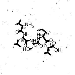 CC[C@H](C)[C@H](NC(=O)[C@H](CO)NC(=O)[C@H](CC(C)C)NC(=O)[C@@H](N)C(C)C)C(=O)N[C@H](C(=O)O)C(C)C